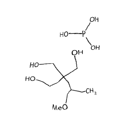 COC(C)C(CO)(CO)CO.OP(O)O